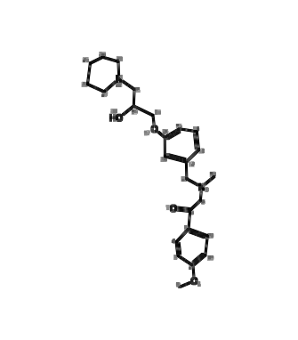 COc1ccc(C(=O)CN(C)Cc2cccc(OCC(O)CN3CCCCC3)c2)cc1